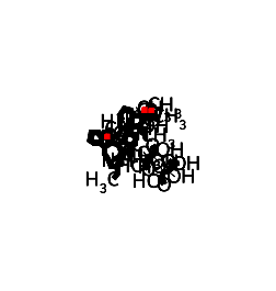 CCC1=C[C@H]2CN(C1)Cc1c([nH]c3ccccc13)[C@@](C(=O)OC)(c1cc3c(cc1OC)N(C)[C@H]1[C@@](O)(C(=O)OC)[C@H](OC(C)=O)[C@]4(CC)C=CCN5CC[C@]31[C@@H]54)C2.O=C(O)[C@H](O)[C@@H](O)C(=O)O.O=C(O)[C@H](O)[C@@H](O)C(=O)O